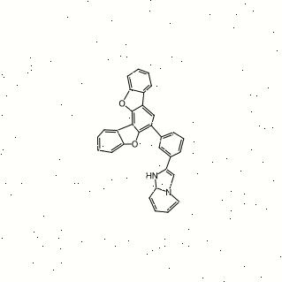 C1=CC2NC(c3cccc(-c4cc5c6ccccc6oc5c5c4oc4ccccc45)c3)=CN2C=C1